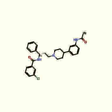 CC(C)C(=O)Nc1cccc(C2CCN(CC[C@H](NC(=O)c3cccc(Cl)c3)c3ccccc3)CC2)c1